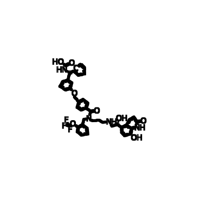 O=C(O)N[C@@H](c1ccccc1)c1cccc(OCc2ccc(C(=O)N(CCCNC[C@H](O)c3ccc(O)c4[nH]c(=O)ccc34)Cc3ccccc3OC(F)(F)F)cc2)c1